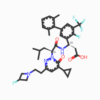 Cc1cccc(C)c1-c1cc([C@H](CC(=O)O)NC(=O)[C@H](CC(C)C)n2nc(CCN3CC(F)C3)cc(C3CC3)c2=O)c(F)c(C(F)(F)F)c1